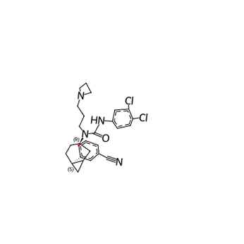 N#Cc1cccc([C@]23CC[C@@H](N(CCCN4CCC4)C(=O)Nc4ccc(Cl)c(Cl)c4)CC2C3)c1